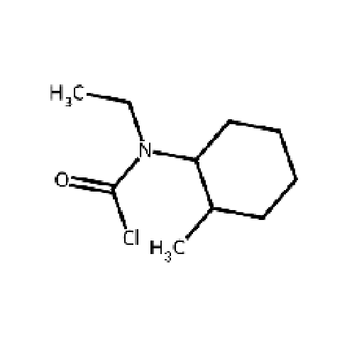 CCN(C(=O)Cl)C1CCCCC1C